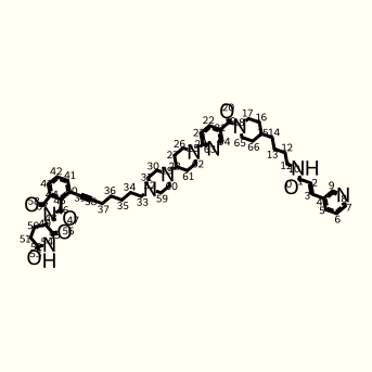 O=C(/C=C/c1cccnc1)NCCCCC1CCN(C(=O)c2ccc(N3CCC(N4CCN(CCCCCC#Cc5cccc6c5C(=O)N(C5CCC(=O)NC5=O)C6=O)CC4)CC3)nc2)CC1